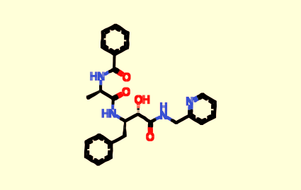 C[C@@H](NC(=O)c1ccccc1)C(=O)N[C@H](Cc1ccccc1)[C@H](O)C(=O)NCc1ccccn1